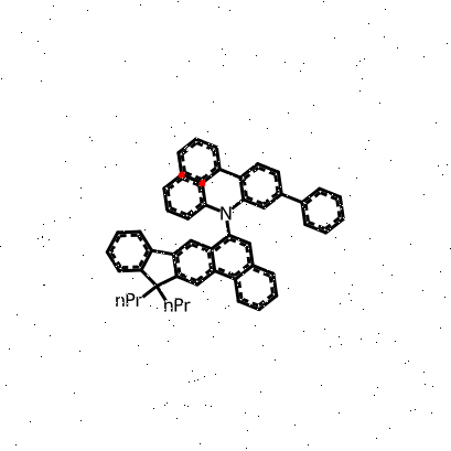 CCCC1(CCC)c2ccccc2-c2cc3c(N(c4ccccc4)c4cc(-c5ccccc5)ccc4-c4ccccc4)cc4ccccc4c3cc21